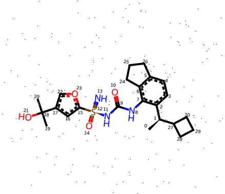 C[C@@H](c1ccc2c(c1NC(=O)N[S@@](=N)(=O)c1cc(C(C)(C)O)co1)CCC2)C1CCC1